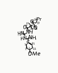 COC1C=CC(C(=N)NC(=N)NC(=O)C(C)(C)S(=O)(=O)CC(C)C)=CC1